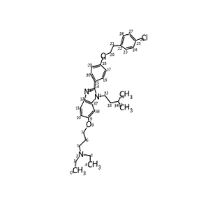 CCN(CC)CCCOc1ccc2nc(-c3ccc(OCCc4ccc(Cl)cc4)cc3)n(CCC(C)C)c2c1